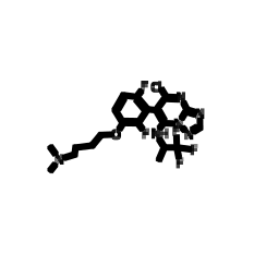 CC(Nc1c(-c2c(F)ccc(OCCCCN(C)C)c2F)c(Cl)nc2ncnn12)C(F)(F)F